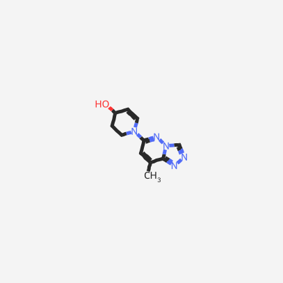 Cc1cc(N2C=CC(O)CC2)nn2cnnc12